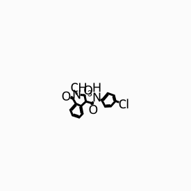 CN1C(=O)c2ccccc2C(C(=O)Nc2ccc(Cl)cc2)C1=O